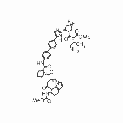 COC(=O)N[C@H]1CCc2ccn3c2C1C(=O)C[C@H](C(=O)N1CCC[C@H]1C(=O)Nc1ccc(-c2ccc(-c4cnc([C@@H]5CC(F)(F)CN5C(=O)[C@@H](C(=O)OC)C(C)CN)[nH]4)cc2)cc1)C3